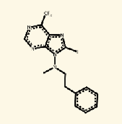 CN(CCc1ccccc1)n1c(I)nc2c(C(F)(F)F)ncnc21